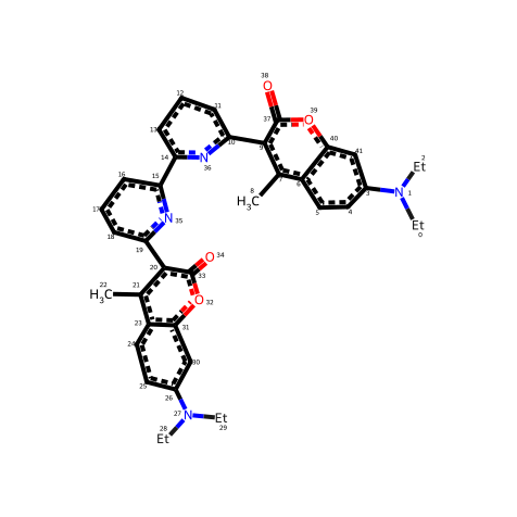 CCN(CC)c1ccc2c(C)c(-c3cccc(-c4cccc(-c5c(C)c6ccc(N(CC)CC)cc6oc5=O)n4)n3)c(=O)oc2c1